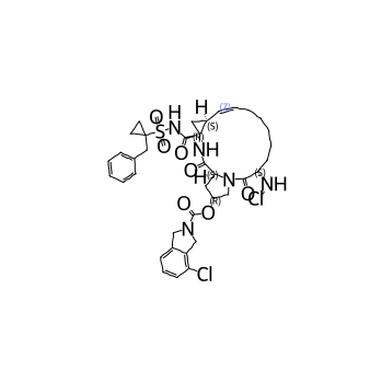 O=C1N[C@]2(C(=O)NS(=O)(=O)C3(Cc4ccccc4)CC3)C[C@H]2/C=C\CCCCC[C@H](NCl)C(=O)N2C[C@H](OC(=O)N3Cc4cccc(Cl)c4C3)C[C@@H]12